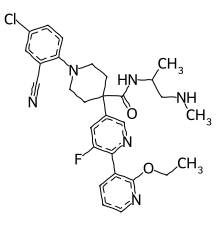 CCOc1ncccc1-c1ncc(C2(C(=O)NC(C)CNC)CCN(c3ccc(Cl)cc3C#N)CC2)cc1F